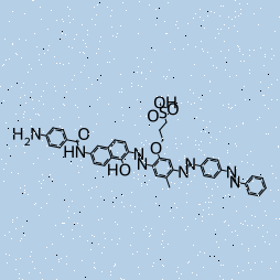 Cc1cc(N=Nc2ccc3cc(NC(=O)c4ccc(N)cc4)ccc3c2O)c(OCCCS(=O)(=O)O)cc1N=Nc1ccc(N=Nc2ccccc2)cc1